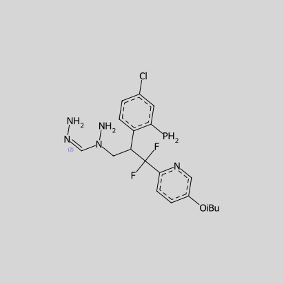 CC(C)COc1ccc(C(F)(F)C(CN(N)/C=N\N)c2ccc(Cl)cc2P)nc1